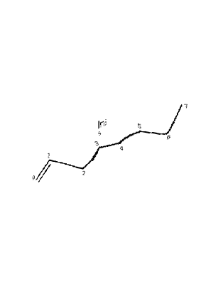 C=CCCCCCC.[In]